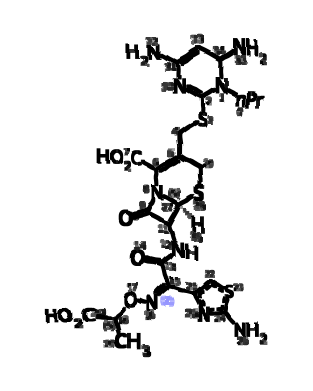 CCCN1C(SCC2=C(C(=O)O)N3C(=O)C(NC(=O)/C(=N\O[C@@H](C)C(=O)O)c4csc(N)n4)[C@@H]3SC2)=NC(N)=CC1N